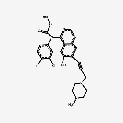 CN1CCN(CC#Cc2cc3ncnc(N(C(=O)OC(C)(C)C)c4ccc(F)c(Cl)c4)c3cc2N)CC1